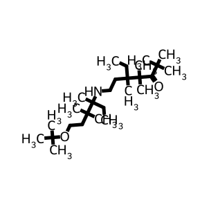 CCC(C)(CCNC(C)(CC)C(C)(C)CCOC(C)(C)C)C(C)(C)C(=O)C(C)(C)C